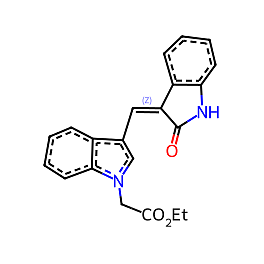 CCOC(=O)Cn1cc(/C=C2\C(=O)Nc3ccccc32)c2ccccc21